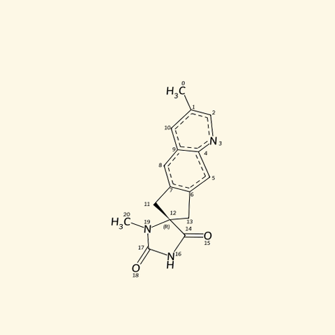 Cc1cnc2cc3c(cc2c1)C[C@@]1(C3)C(=O)NC(=O)N1C